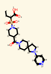 CCC(C(=O)O)S(=O)(=O)N1CCC(C(=O)N2CCC3(CC2)CCN(c2ccncc2)C3)CC1